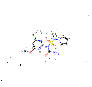 COc1cc(OC)nc(N(C(N)=O)S(=O)(=O)N(C)n2cccc2)n1